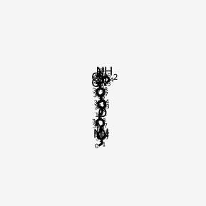 CCc1cnc(N2CCC(COc3ccc(C4=CCC(C(=O)N5CCCC5C(N)=O)CC4)cc3)CC2)nc1